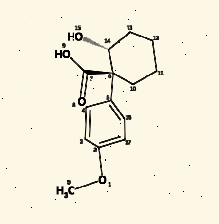 COc1ccc([C@@]2(C(=O)O)CCCC[C@H]2O)cc1